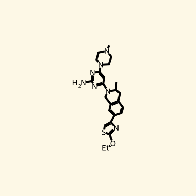 CCOc1nc(-c2ccc3c(c2)CN(c2cc(N4CCN(C)CC4)nc(N)n2)C(C)C3)cs1